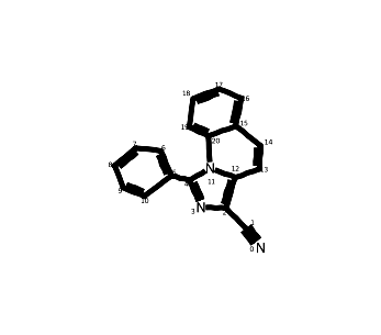 N#Cc1nc(-c2ccccc2)n2c1ccc1ccccc12